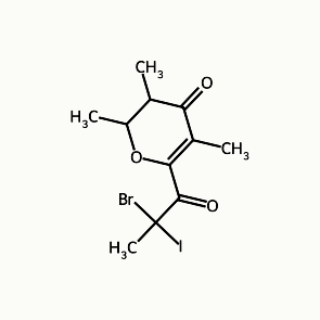 CC1=C(C(=O)C(C)(Br)I)OC(C)C(C)C1=O